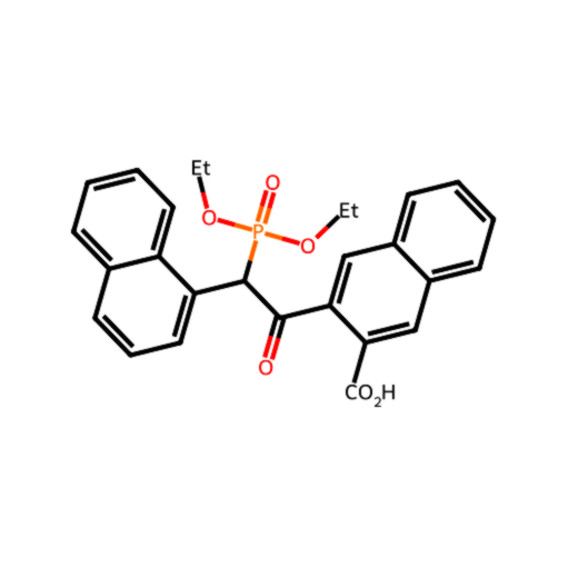 CCOP(=O)(OCC)C(C(=O)c1cc2ccccc2cc1C(=O)O)c1cccc2ccccc12